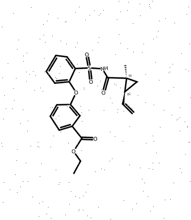 C=C[C@@H]1C[C@]1(C)C(=O)NS(=O)(=O)c1ccccc1Oc1cccc(C(=O)OCC)c1